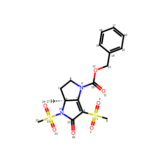 CS(=O)(=O)C1=C2[C@H](CCN2C(=O)OCc2ccccc2)N(S(C)(=O)=O)C1=O